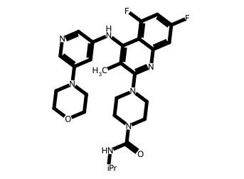 Cc1c(N2CCN(C(=O)NC(C)C)CC2)nc2cc(F)cc(F)c2c1Nc1cncc(N2CCOCC2)c1